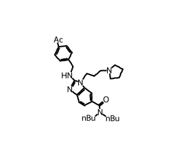 CCCCN(CCCC)C(=O)c1ccc2nc(NCc3ccc(C(C)=O)cc3)n(CCCN3CCCC3)c2c1